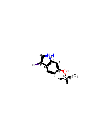 CC(C)(C)[Si](C)(C)Oc1ccc2c(I)c[nH]c2c1